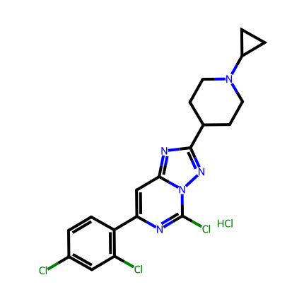 Cl.Clc1ccc(-c2cc3nc(C4CCN(C5CC5)CC4)nn3c(Cl)n2)c(Cl)c1